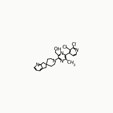 Cc1nc(N2CCC3(CC2)Cc2cccnc2C3)c(CO)nc1-c1ccnc(Cl)c1Cl